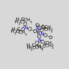 CC(C)(C)c1cc2c3c(c1)N(c1ccccc1-c1ccccc1)c1cc(-c4ccc(-n5c6ccc(C(C)(C)C)cc6c6cc(C(C)(C)C)ccc65)cc4)ccc1B3c1ccc(-n3c4ccc(C(C)(C)C)cc4c4cc(C(C)(C)C)ccc43)cc1N2c1ccc(-c2ccccc2)cc1